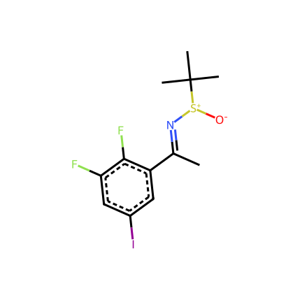 CC(=N[S+]([O-])C(C)(C)C)c1cc(I)cc(F)c1F